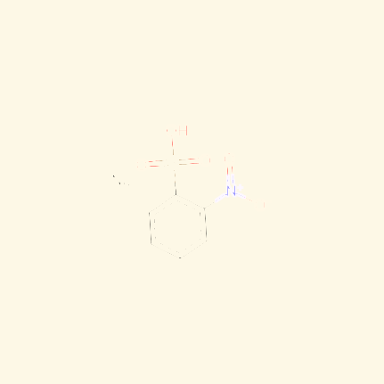 O=[N+]([O-])c1ccccc1S(=O)(=O)O.[Na+]